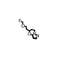 FCOCCC1CCn2nccc2O1